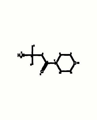 CC(C)(N)CC(=O)N1CCOCC1